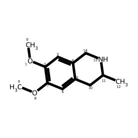 COc1cc2c(cc1OC)CC(C)N[CH]2